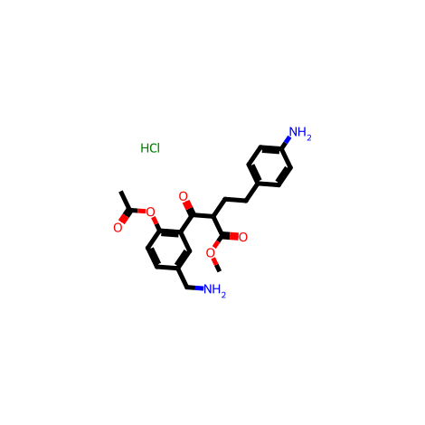 COC(=O)C(CCc1ccc(N)cc1)C(=O)c1cc(CN)ccc1OC(C)=O.Cl